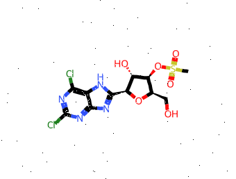 CS(=O)(=O)O[C@@H]1[C@@H](O)[C@H](c2nc3nc(Cl)nc(Cl)c3[nH]2)O[C@@H]1CO